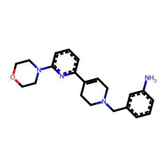 Nc1cccc(CN2CC=C(c3cccc(N4CCOCC4)n3)CC2)c1